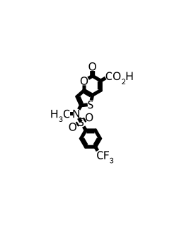 CN(c1cc2oc(=O)c(C(=O)O)cc2s1)S(=O)(=O)c1ccc(C(F)(F)F)cc1